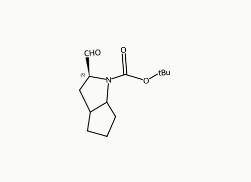 CC(C)(C)OC(=O)N1C2CCCC2C[C@H]1C=O